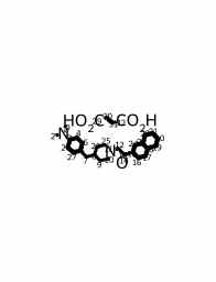 CN(C)c1ccc(CC2CCN(CC(=O)c3ccc4ccccc4c3)CC2)cc1.O=C(O)/C=C/C(=O)O